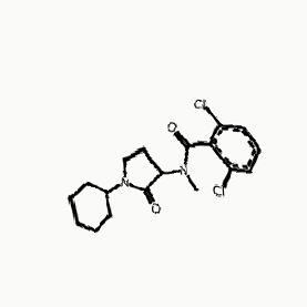 CN(C(=O)c1c(Cl)cccc1Cl)C1CCN(C2CCCCC2)C1=O